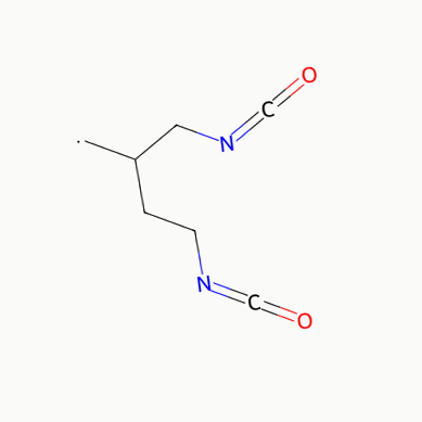 [CH2]C(CCN=C=O)CN=C=O